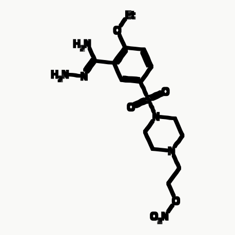 CCOc1ccc(S(=O)(=O)N2CCN(CCO[N+](=O)[O-])CC2)cc1/C(N)=N/N